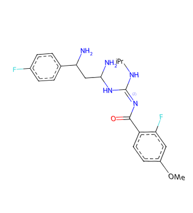 COc1ccc(C(=O)/N=C(/NC(C)C)NC(N)CC(N)c2ccc(F)cc2)c(F)c1